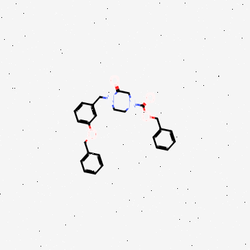 O=C1CN(C(=O)OCc2ccccc2)CCN1Cc1cccc(OCc2ccccc2)c1